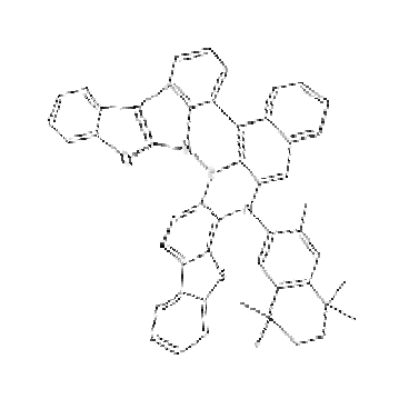 Cc1cc2c(cc1N1c3cc4ccccc4c4c3B(c3ccc5c(sc6ccccc65)c31)n1c3oc5ccccc5c3c3cccc-4c31)C(C)(C)CCC2(C)C